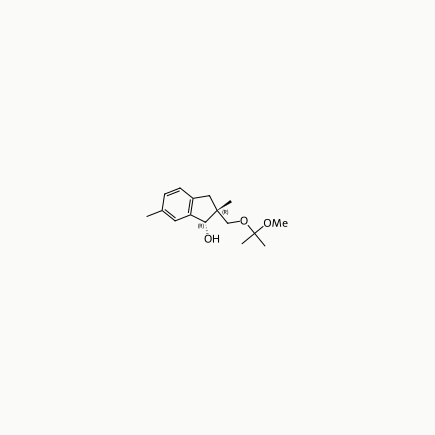 COC(C)(C)OC[C@@]1(C)Cc2ccc(C)cc2[C@H]1O